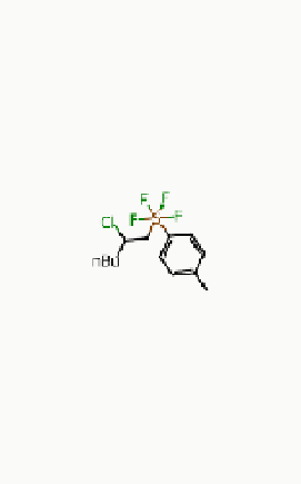 CCCCC(Cl)CS(F)(F)(F)(F)c1ccc(C)cc1